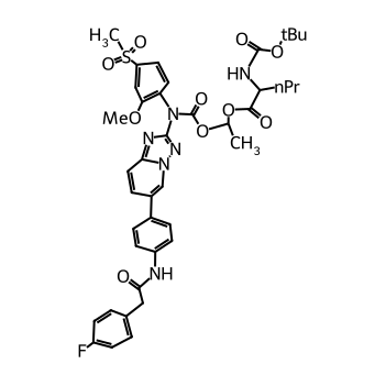 CCCC(NC(=O)OC(C)(C)C)C(=O)OC(C)OC(=O)N(c1nc2ccc(-c3ccc(NC(=O)Cc4ccc(F)cc4)cc3)cn2n1)c1ccc(S(C)(=O)=O)cc1OC